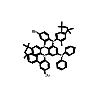 Cc1cc2c(cc1N1c3ccc(C(C)(C)C)cc3B3c4cc5c(cc4N(c4ccc(C(C)(C)C)cc4-c4ccccc4)c4cc(N(c6ccccc6)c6ccccc6)cc1c43)C(C)(C)CC5(C)C)C(C)(C)CC2(C)C